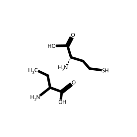 CCC(N)C(=O)O.N[C@@H](CCS)C(=O)O